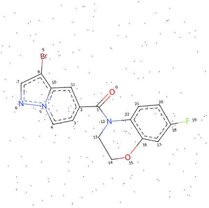 O=C(c1ccn2ncc(Br)c2c1)N1CCOc2cc(F)ccc21